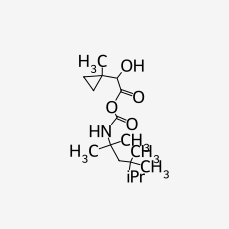 CC(C)C(C)(C)CC(C)(C)NC(=O)OC(=O)C(O)C1(C)CC1